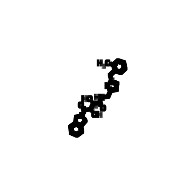 Cc1ccccc1Cn1ccc(CNC(=O)[C@H](O)[C@@H](O)C(=O)N2Cc3ccccc3C2)n1